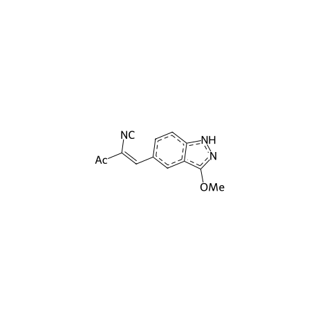 [C-]#[N+]/C(=C\c1ccc2[nH]nc(OC)c2c1)C(C)=O